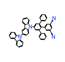 N#Cc1cc(C#N)cc(-c2c(-c3ccccc3)cc(-n3c4ccccc4c4cc(-n5c6ccccc6c6ccccc65)ccc43)cc2-c2ccccc2)c1